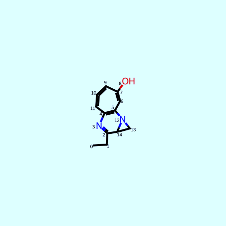 CCC1=NC2=C(C=C(O)C=C=C2)N2CC12